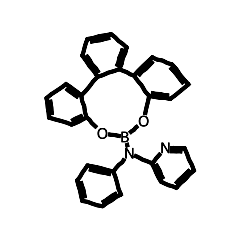 c1ccc(N(B2Oc3ccccc3-c3ccccc3-c3ccccc3O2)c2ccccn2)cc1